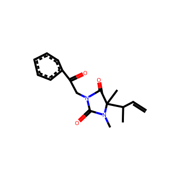 C=CC(C)C1(C)C(=O)N(CC(=O)c2ccccc2)C(=O)N1C